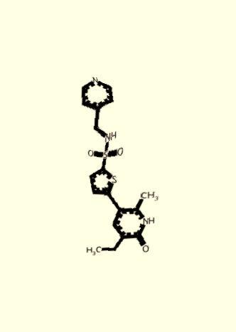 CCc1cc(-c2ccc(S(=O)(=O)NCc3ccncc3)s2)c(C)[nH]c1=O